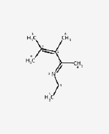 CC/N=C(\C)C(C)=C(C)C